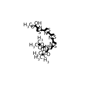 COC(O)c1csc(-c2csc(-c3csc(-c4csc(C[C@H](NC(=O)OC(C)(C)C)C(=O)OC(C)(C)C)n4)n3)n2)n1